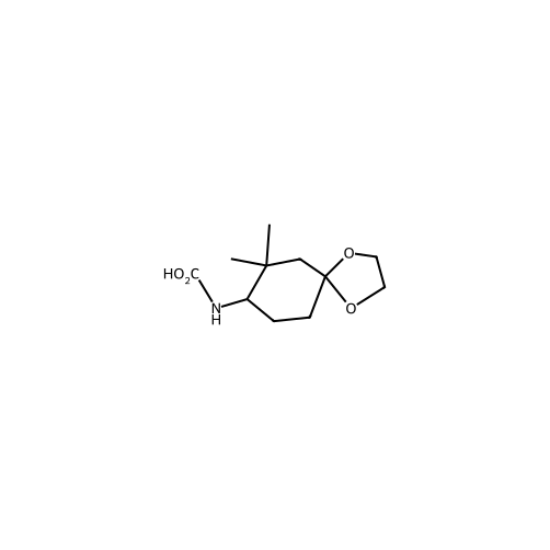 CC1(C)CC2(CCC1NC(=O)O)OCCO2